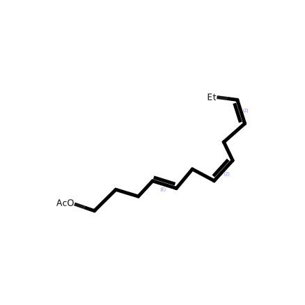 CC/C=C\C/C=C\C/C=C/CCCOC(C)=O